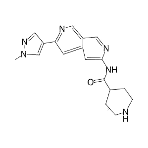 Cn1cc(-c2cc3cc(NC(=O)C4CCNCC4)ncc3cn2)cn1